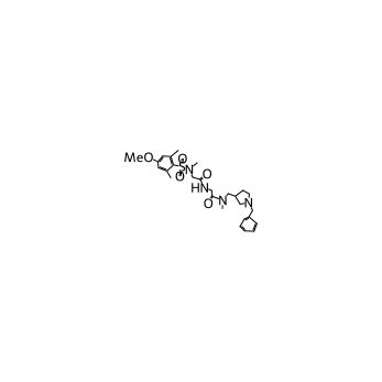 COc1cc(C)c(S(=O)(=O)N(C)CC(=O)NCC(=O)N(C)CC2CCN(Cc3ccccc3)C2)c(C)c1